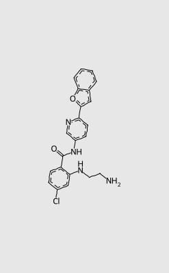 NCCNc1cc(Cl)ccc1C(=O)Nc1ccc(-c2cc3ccccc3o2)nc1